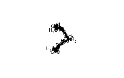 CCCC(N)(CCC(=O)NCCOCCOCCN1Cc2ccc(C3CN(C)Cc4c(Cl)cc(Cl)cc43)cc2C1=O)CCC(=O)NCCOCCOCCN1Cc2ccc(C3CN(C)Cc4c(Cl)cc(Cl)cc43)cc2C1=O